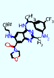 COCCNc1cc2c(NC(C)c3cc(N)cc(C(F)(F)F)c3)nc(C)nc2cc1C(=O)N1CCOCC1